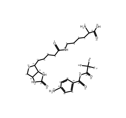 NC(CCCCNC(=O)CCCCC1SCC2NC(=O)NC21)C(=O)O.Nc1ccc(C(=O)OC(=O)C(F)(F)F)cc1